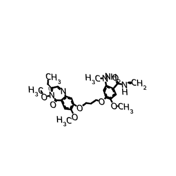 C=CNC(=O)c1cc(OC)c(OCCCOc2cc3c(cc2OC)C(=O)N(OC)[C@@H](CC)C=N3)cc1N(C)N